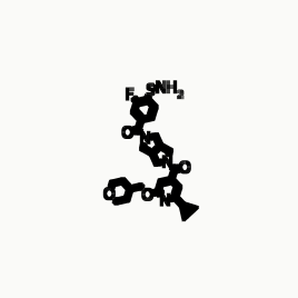 NSc1ccc(C(=O)N2CC3CN(C(=O)c4cc(OCC5CCOCC5)nc(C5CC5)c4)CC3C2)cc1F